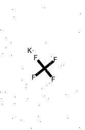 FC(F)(F)F.[K]